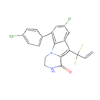 C=CC(F)(F)c1c2n(c3c(-c4ccc(Cl)cc4)cc(Cl)cc13)CCNC2=O